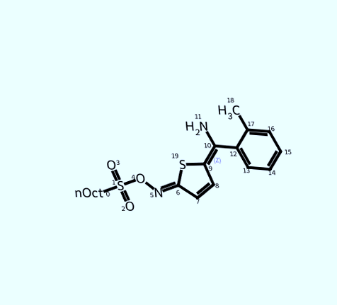 CCCCCCCCS(=O)(=O)ON=C1C=C/C(=C(/N)c2ccccc2C)S1